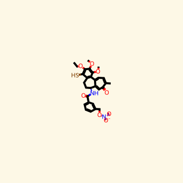 CCOc1c(S)c2c(c(OC)c1OC)-c1ccc(C)c(=O)cc1[C@@H](NC(=O)c1cccc(CO[N+](=O)[O-])c1)CC2